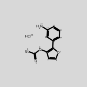 CCC(=O)Oc1ccoc1-c1cccc(N)c1.Cl